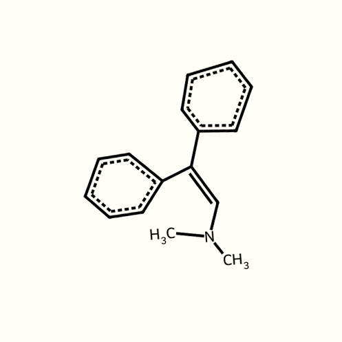 CN(C)C=C(c1ccccc1)c1ccccc1